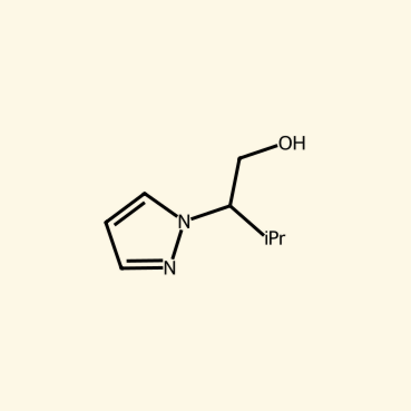 CC(C)C(CO)n1cccn1